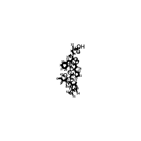 CC[C@H](C)[C@@H]([C@@H](CC(=O)N1CCCC1[C@H](OC)[C@@H](C)C(=O)NC(Cc1ccccc1)C(=O)N(C)CCN(C)C(=O)O)OC)N(C)C(=O)C(N=C(N(C)C)N(C)C)C(C)C